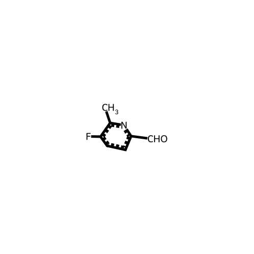 Cc1nc(C=O)ccc1F